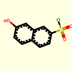 O=S(=O)(Cl)c1ccc2ccc(O)cc2c1